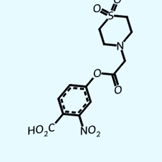 O=C(CN1CCS(=O)(=O)CC1)Oc1ccc(C(=O)O)c([N+](=O)[O-])c1